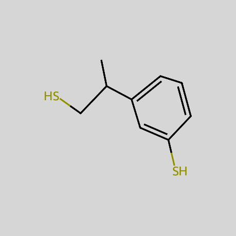 CC(CS)c1cccc(S)c1